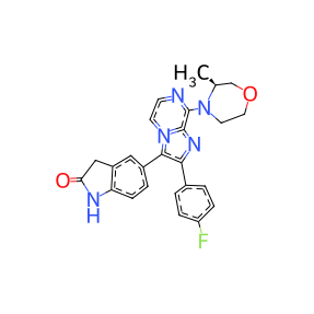 C[C@H]1COCCN1c1nccn2c(-c3ccc4c(c3)CC(=O)N4)c(-c3ccc(F)cc3)nc12